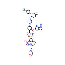 CC1(C)CCC(CN2CCN(c3ccc(C(=O)NS(=O)(=O)c4cc5c(c([N+](=O)[O-])c4)N[C@@H](CCN4CCOCC4)CO5)c(Oc4cnc5[nH]ccc5c4)c3)CC2)=C(c2ccc(Cl)cc2)C1